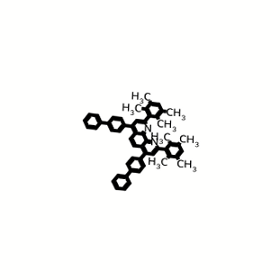 Cc1cc(C)c(C)c(-c2cc(-c3ccc(-c4ccccc4)cc3)c3ccc4c(-c5ccc(-c6ccccc6)cc5)cc(-c5c(C)c(C)cc(C)c5C)nc4c3n2)c1C